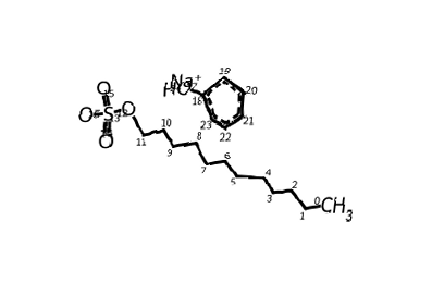 CCCCCCCCCCCCOS(=O)(=O)[O-].Oc1ccccc1.[Na+]